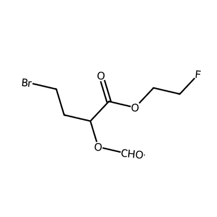 O=[C]OC(CCBr)C(=O)OCCF